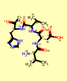 CC(=O)[C@H](Cc1cnc[nH]1)NC(=O)C(NC(=O)[C@H](CC(=O)O)NC(=O)[C@@H](N)C(C)C)C(C)C